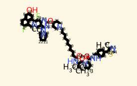 C#Cc1c(F)ccc2cc(O)cc(-c3ncc4c(N5CC6CCC(C5)N6)nc(OC5CCN(CCCCCCCCCCC(=O)NC(C(=O)N6CCC[C@H]6C(=O)NCc6ccc(-c7scnc7C)cc6)C(C)(C)C)CC5)nc4c3F)c12